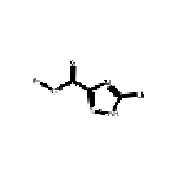 CCOC(=O)c1n[nH]c(Cl)n1